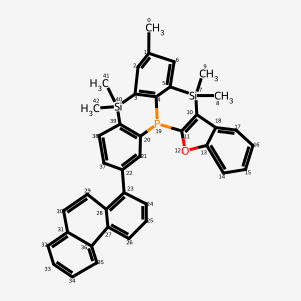 Cc1cc2c3c(c1)[Si](C)(C)c1c(oc4ccccc14)P3c1cc(-c3cccc4c3ccc3ccccc34)ccc1[Si]2(C)C